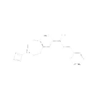 O=C(CCc1ccccc1)c1ccc2c(c1)CCN(C1=CC=C1)CC2